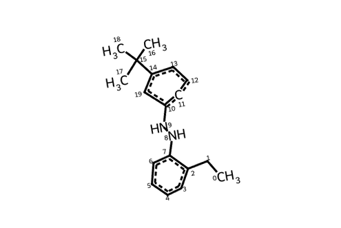 CCc1ccccc1NNc1cccc(C(C)(C)C)c1